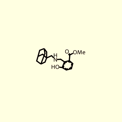 COC(=O)c1cccc(O)c1CNCC12CC3CC(CC(C3)C1)C2